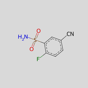 N#Cc1ccc(F)c(S(N)(=O)=O)c1